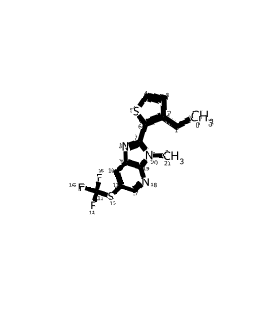 CCc1ccsc1-c1nc2cc(SC(F)(F)F)cnc2n1C